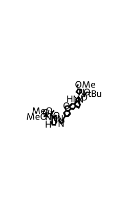 COC[C@H]1C[C@@H](c2nc3ccc4cc5c(cc4c3[nH]2)OCc2cc(-c3cnc([C@@H]4CCCN4C(=O)C(NC(=O)OC)[C@@H](C)OC)[nH]3)ccc2-5)N(C(=O)OC(C)(C)C)C1